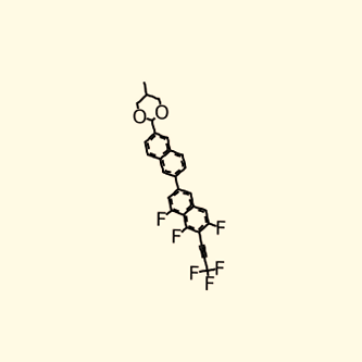 CC1COC(c2ccc3cc(-c4cc(F)c5c(F)c(C#CC(F)(F)F)c(F)cc5c4)ccc3c2)OC1